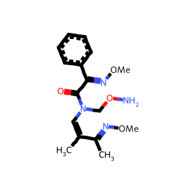 CON=C(C)C(C)=CN(CON)C(=O)C(=NOC)c1ccccc1